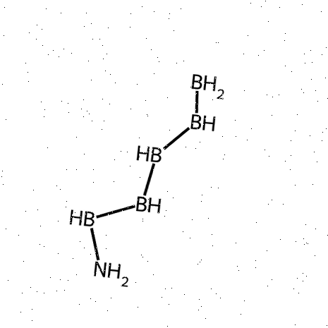 BBBBBN